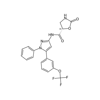 O=C1NC[C@@H](C(=O)Nc2cc(-c3cccc(OC(F)(F)F)c3)n(-c3ccccc3)n2)O1